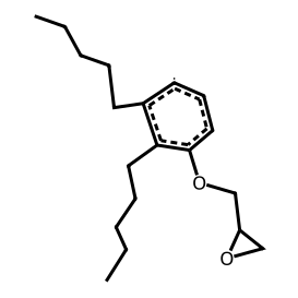 CCCCCc1[c]ccc(OCC2CO2)c1CCCCC